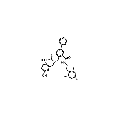 Cc1cc(C)c(CCNC(=O)c2cc(-c3ccccc3)ccc2CN(Cc2cccc(C#N)c2)C(=O)C(=O)O)c(C)c1